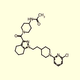 CC(=O)NC1CCN(C(=O)c2nn(CCC3CCN(c4cccc(Cl)n4)CC3)c3c2CCCC3)CC1